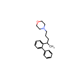 CC(CCCN1CCOCC1)c1ccccc1-c1ccccc1